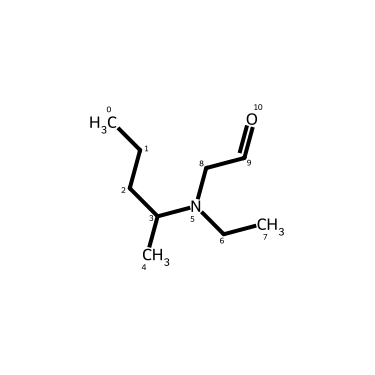 CCCC(C)N(CC)CC=O